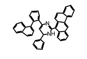 C1=C(c2ccccc2-c2cccc3ccccc23)N=C(c2c3ccccc3cc3c2ccc2ccccc23)NC1c1ccccc1